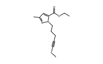 CCOC(=O)c1cc(C)nn1CCCC#CSI